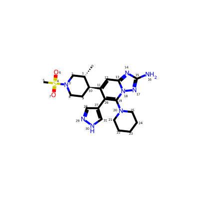 C[C@H]1CN(S(C)(=O)=O)CC[C@@H]1c1cc2nc(N)nn2c(N2CCCCC2)c1-c1cn[nH]c1